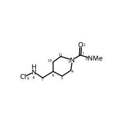 CNC(=O)N1CCC(CNCl)CC1